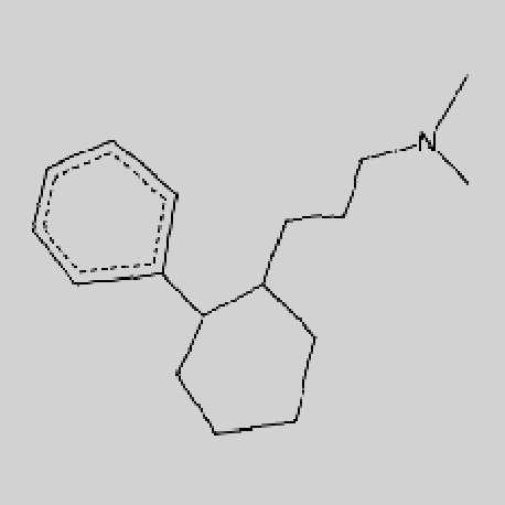 CN(C)CCCC1CCCCC1c1ccccc1